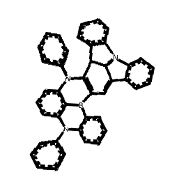 C1=C2c3ccccc3N3c4ccccc4C(C4=C1B1c5ccccc5N(c5ccccc5)c5cccc(c51)N4c1ccccc1)C23